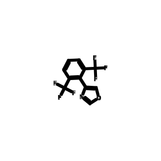 FC(F)(F)c1cccc(C(F)(F)F)c1-c1co[c]n1